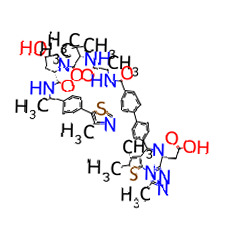 Cc1ncsc1-c1ccc([C@H](C)NC(=O)[C@@H]2C[C@@H](O)CN2C(=O)[C@@H](NC(=O)[C@H](C)NC(=O)c2ccc(-c3ccc(C4=N[C@@H](CC(=O)O)c5nnc(C)n5-c5sc(C)c(C)c54)cc3)cc2)C(C)(C)C)cc1